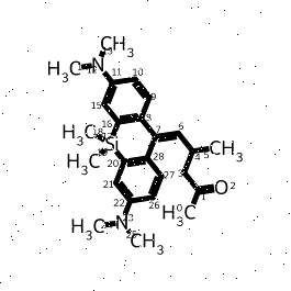 CC(=O)CC(C)C=C1c2ccc(N(C)C)cc2[Si](C)(C)c2cc(N(C)C)ccc21